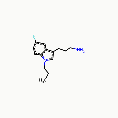 CCCn1cc(CCCN)c2cc(F)ccc21